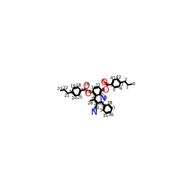 CCCc1ccc(C(=O)Oc2ccc(OC(=O)c3ccc(CCC)cc3)c3c(C)c(C#N)c(-c4ccccc4)nc23)cc1